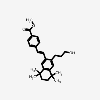 COC(=O)c1ccc(C=Cc2cc3c(cc2CCCO)C(C)(C)CCC3(C)C)cc1